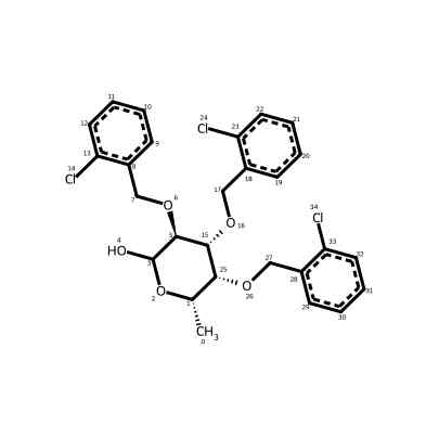 C[C@@H]1OC(O)[C@@H](OCc2ccccc2Cl)[C@H](OCc2ccccc2Cl)[C@@H]1OCc1ccccc1Cl